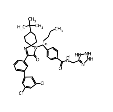 CCCC[C@H](c1ccc(C(=O)NCC2=NNNN2)cc1)N1C(=O)C(c2cccc(-c3cc(Cl)cc(Cl)c3)c2)=NC12CCC(C(C)(C)C)CC2